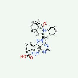 Cc1ccccc1-n1c(Cn2nc(-c3cccc(C(=O)O)c3)c3c(N)ncnc32)cc2cccc(C)c2c1=O